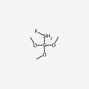 CO[Si](OC)(OC)[SiH2]F